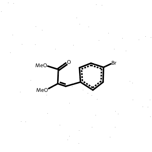 COC(=O)C(=Cc1ccc(Br)cc1)OC